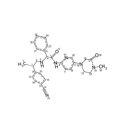 CC(CNC(C(=O)Nc1ccc(N2CCN(C)C(=O)C2)cn1)c1ccccc1)c1ccc(C#N)cc1